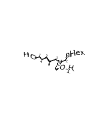 CCCCCCCN(CCCCCO)C(=O)O